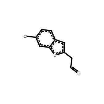 O=CCc1cc2ccc(Cl)cc2o1